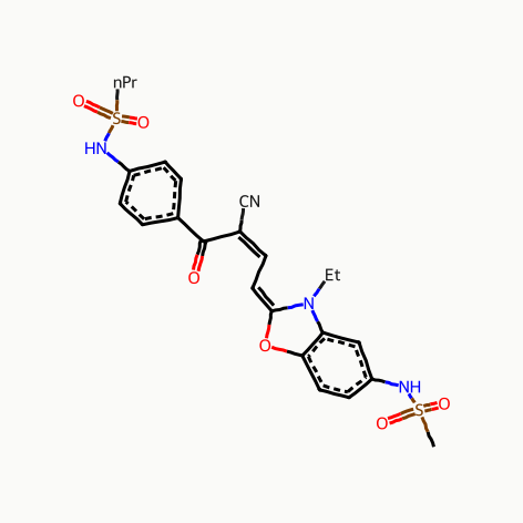 CCCS(=O)(=O)Nc1ccc(C(=O)C(C#N)=CC=C2Oc3ccc(NS(C)(=O)=O)cc3N2CC)cc1